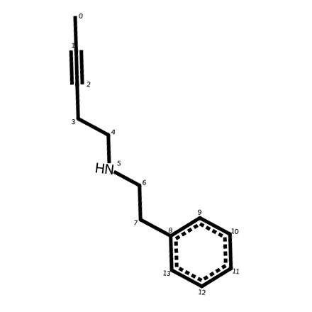 CC#CCCNCCc1ccccc1